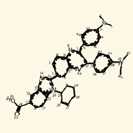 CN(C)c1ccc(-c2nc3ccc(-c4nc5cc(C(=O)O)ccc5n4C4CCCCC4)cc3nc2-c2ccc(N(C)C)cc2)cc1